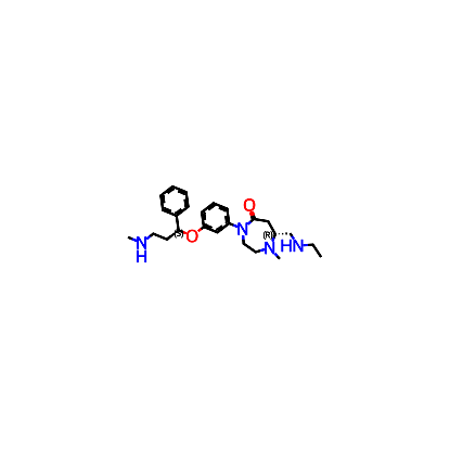 CCNC[C@H]1CC(=O)N(c2cccc(O[C@@H](CCNC)c3ccccc3)c2)CCN1C